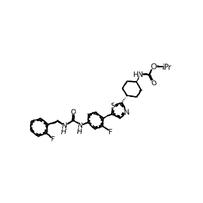 CC(C)OC(=O)N[C@H]1CC[C@H](c2ncc(-c3ccc(NC(=O)NCc4ccccc4F)cc3F)s2)CC1